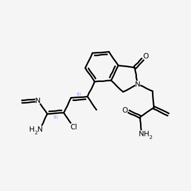 C=N/C(N)=C(Cl)\C=C(/C)c1cccc2c1CN(CC(=C)C(N)=O)C2=O